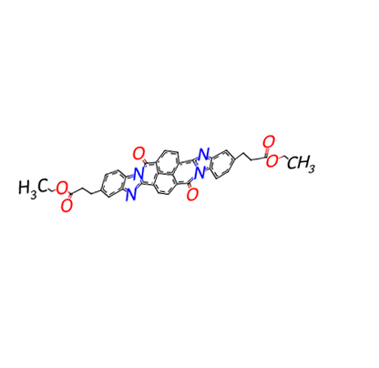 CCOC(=O)CCc1ccc2c(c1)nc1c3ccc4c(=O)n5c6ccc(CCC(=O)OCC)cc6nc5c5ccc(c(=O)n21)c3c45